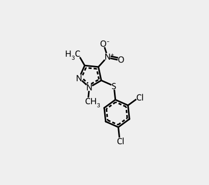 Cc1nn(C)c(Sc2ccc(Cl)cc2Cl)c1[N+](=O)[O-]